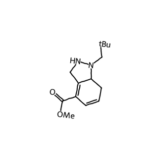 COC(=O)C1=C2CNN(CC(C)(C)C)C2CC=C1